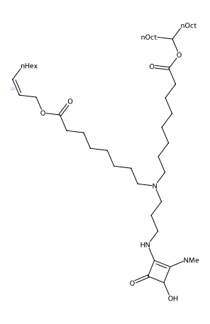 CCCCCC/C=C\COC(=O)CCCCCCCN(CCCCCCCC(=O)OC(CCCCCCCC)CCCCCCCC)CCCNC1=C(NC)C(O)C1=O